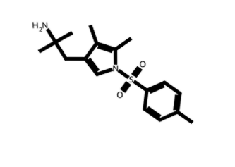 Cc1ccc(S(=O)(=O)n2cc(CC(C)(C)N)c(C)c2C)cc1